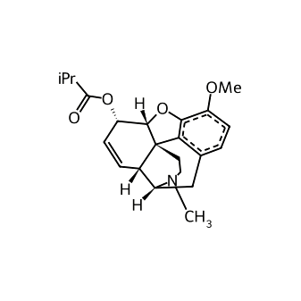 COc1ccc2c3c1O[C@H]1[C@@H](OC(=O)C(C)C)C=C[C@H]4[C@@H](C2)N(C)CC[C@@]341